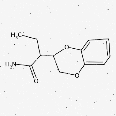 CCC(C(N)=O)C1COc2ccccc2O1